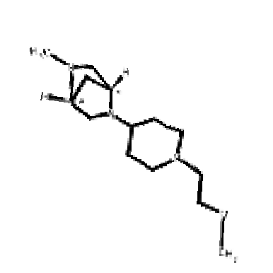 COCCN1CCC(N2C[C@H]3C[C@@H]2CN3C)CC1